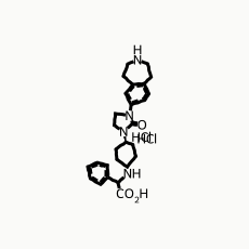 Cl.Cl.O=C(O)C(N[C@H]1CC[C@H](N2CCN(c3ccc4c(c3)CCNCC4)C2=O)CC1)c1ccccc1